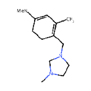 CNC1=CC(C(F)(F)F)=C(CN2CCN(C)C2)CC1